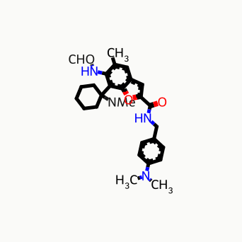 CNC1(c2c(NC=O)c(C)cc3cc(C(=O)NCc4ccc(N(C)C)cc4)oc23)CCCCC1